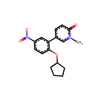 Cn1cc(-c2cc([N+](=O)[O-])ccc2OC2CCCC2)ccc1=O